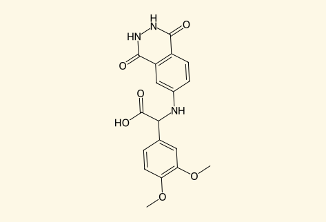 COc1ccc(C(Nc2ccc3c(=O)[nH][nH]c(=O)c3c2)C(=O)O)cc1OC